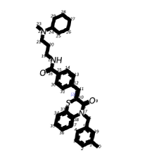 Cc1cccc(CN2C(=O)/C(=C/c3ccc(C(=O)NCCCN(C)C4CCCCC4)cc3)Sc3ccccc32)c1